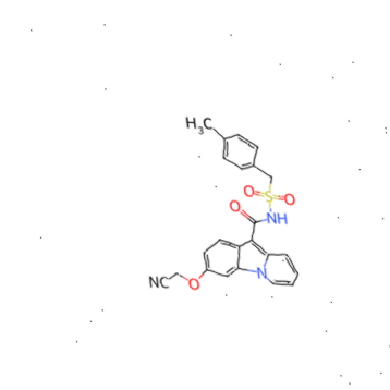 Cc1ccc(CS(=O)(=O)NC(=O)c2c3ccc(OCC#N)cc3n3ccccc23)cc1